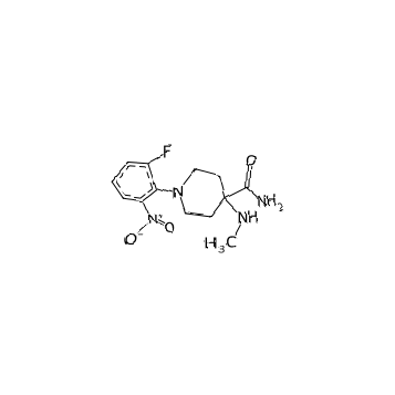 CNC1(C(N)=O)CCN(c2c(F)cccc2[N+](=O)[O-])CC1